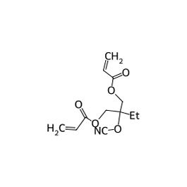 C=CC(=O)OCC(CC)(COC(=O)C=C)OC#N